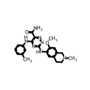 COc1cc2c(cc1Nc1nnc(C(N)=O)c(Nc3cccc(C)c3)n1)CCN(C)C2